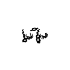 C=c1ccc(=C)cc1.CCCCc1cc2ccccc2c(OCCN(C)C)n1.CCCCc1cc2ccccc2c(OCCN(C)C)n1